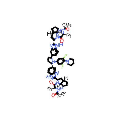 CCCC(=O)N[C@H](C(=O)N1C(c2nc3cc([C@H]4CCC(c5ccc6[nH]c([C@@H]7C[C@@H]8CCC[C@@H]8N7C(=O)[C@@H](NC(=O)OC)C(C)C)nc6c5)N4c4cc(F)c(N5CCCCC5)c(F)c4)ccc3[nH]2)C[C@@H]2CCC[C@@H]21)C(C)C